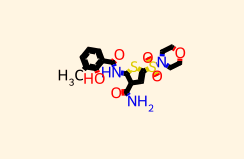 Cc1cccc(C(=O)NC2SC(S(=O)(=O)N3CCOCC3)=CC2C(N)=O)c1O